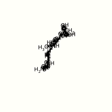 CCNC(=O)[C@H](CCCCn1cc(CCCC(=O)Nc2nnc(S(N)(=O)=O)s2)nn1)NC(=O)CC(CC(=O)CCNC(=O)CCC(C)(c1ccc(O)cc1)c1cccc(O)c1)C(=O)O